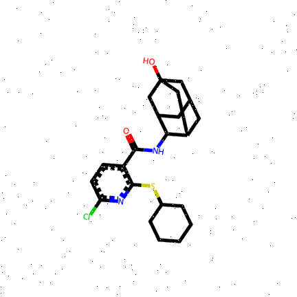 O=C(NC1C2CC3CC1CC(O)(C3)C2)c1ccc(Cl)nc1SC1CCCCC1